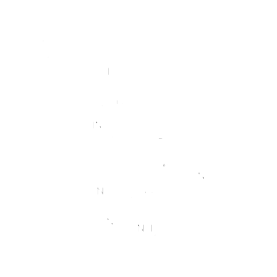 CC=CN1CCC[C@@H](COc2c(N)ncnc2-c2cc(F)cc(NC(=O)c3ccc(C4CC4)cc3F)c2C)C1